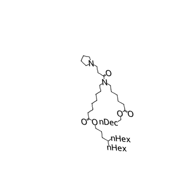 CCCCCCCCCCCOC(=O)CCCCCN(CCCCCCCC(=O)OCCCC(CCCCCC)CCCCCC)C(=O)CCN1CCCC1